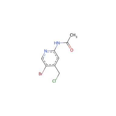 CC(=O)Nc1cc(CCl)c(Br)cn1